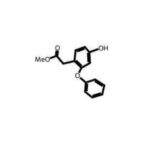 COC(=O)Cc1ccc(O)cc1Oc1ccccc1